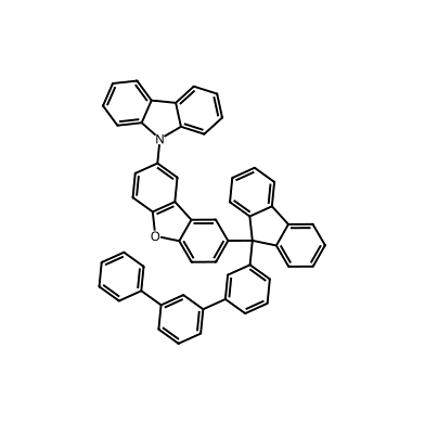 c1ccc(-c2cccc(-c3cccc(C4(c5ccc6oc7ccc(-n8c9ccccc9c9ccccc98)cc7c6c5)c5ccccc5-c5ccccc54)c3)c2)cc1